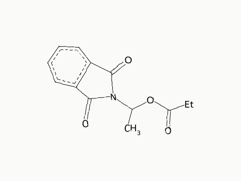 CCC(=O)OC(C)N1C(=O)c2ccccc2C1=O